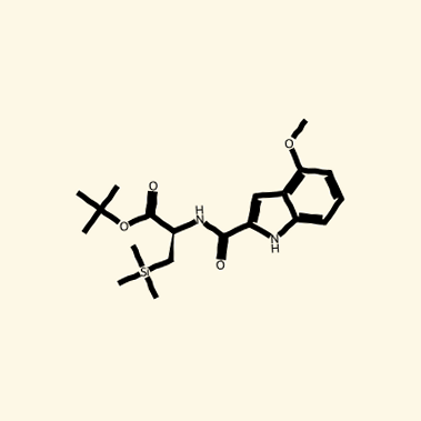 COc1cccc2[nH]c(C(=O)N[C@@H](C[Si](C)(C)C)C(=O)OC(C)(C)C)cc12